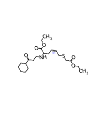 CCOC(=O)CSC/C=C\CC(NCCC(=O)C1CCCCC1)C(=O)OCC